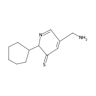 NCC1=CC(=S)C(C2CCCCC2)N=C1